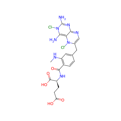 CNc1cc(CC2=CN=C3N=C(N)N(Cl)C(N)=C3N2Cl)ccc1C(=O)N[C@@H](CCC(=O)O)C(=O)O